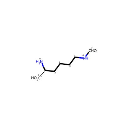 N[C@H](CCCCNC=O)C(=O)O